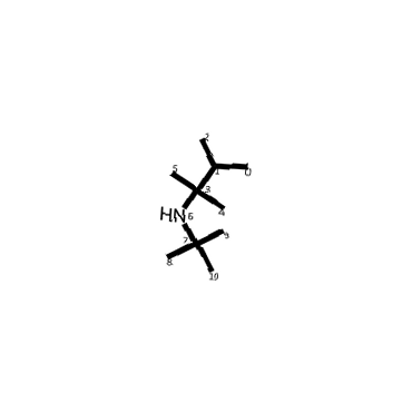 CC(C)C(C)(C)NC(C)(C)C